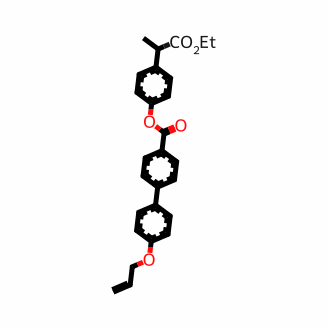 C=CCOc1ccc(-c2ccc(C(=O)Oc3ccc(C(C)C(=O)OCC)cc3)cc2)cc1